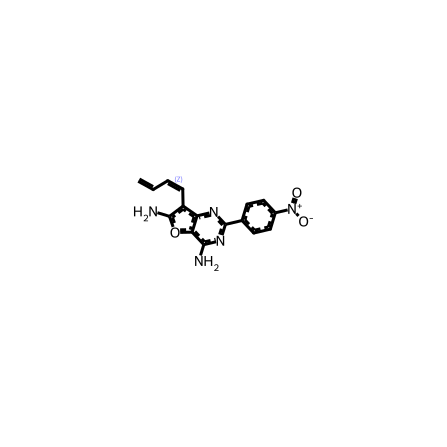 C=C/C=C\c1c(N)oc2c(N)nc(-c3ccc([N+](=O)[O-])cc3)nc12